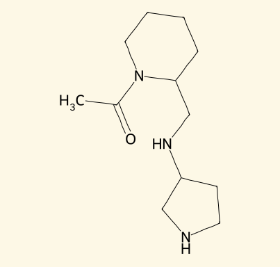 CC(=O)N1CCCCC1CNC1CCNC1